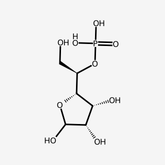 O=P(O)(O)O[C@H](CO)[C@H]1OC(O)[C@@H](O)[C@H]1O